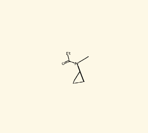 [CH2]CC(=O)N(C)C1CC1